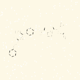 N=C(NC(=O)OCc1ccccc1)c1ccc(CNC(=O)[C@@H]2CCN2C(=O)[C@H](OC(N)=O)C2CC2)cc1